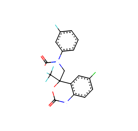 O=C1Nc2ccc(Cl)cc2C(CN(C(=O)O)c2cccc(F)c2)(C(F)(F)F)O1